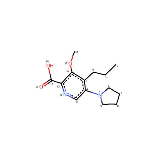 CCCc1c(N2CCCC2)cnc(C(=O)O)c1OC